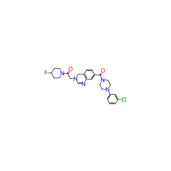 O=C(CN1C=Nc2cc(C(=O)N3CCN(c4cccc(Cl)c4)CC3)ccc2C1)N1CCC(F)CC1